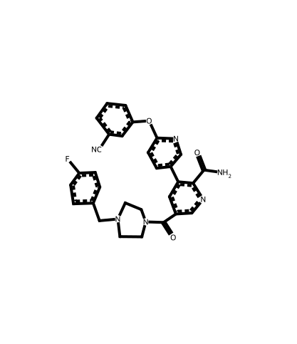 N#Cc1cccc(Oc2ccc(-c3cc(C(=O)N4CCN(Cc5ccc(F)cc5)CC4)cnc3C(N)=O)cn2)c1